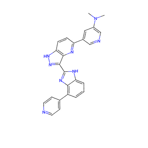 CN(C)c1cncc(-c2ccc3[nH]nc(-c4nc5c(-c6ccncc6)cccc5[nH]4)c3n2)c1